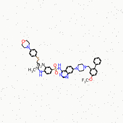 C[C@H](CCSc1ccc(N2CCOCC2)cc1)Nc1ccc(S(=O)(=O)Nc2ncnc3cc(N4CCN(Cc5cc(OC(F)(F)F)ccc5-c5ccccc5)CC4)ccc23)cc1[N+](=O)[O-]